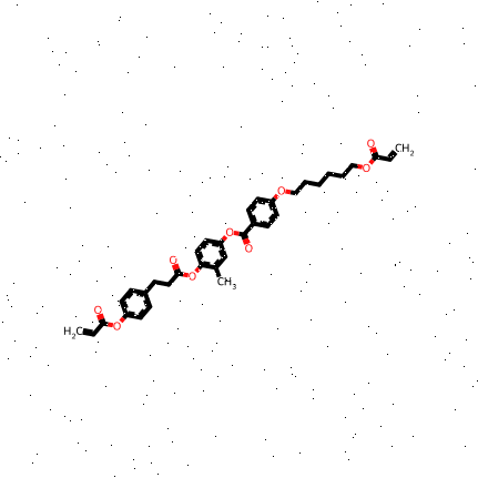 C=CC(=O)OCCCCCCOc1ccc(C(=O)Oc2ccc(OC(=O)CCc3ccc(OC(=O)C=C)cc3)c(C)c2)cc1